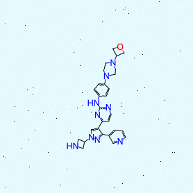 c1cncc(-c2nn(C3CNC3)cc2-c2ccnc(Nc3ccc(N4CCN(C5COC5)CC4)cc3)n2)c1